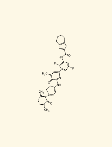 CN1CCN(C)C(C2=CC=C(Nc3nc(-c4cc(F)cc(NC(=O)c5cc6c(s5)CCCC6)c4F)cn(C)c3=O)CC2)C1=O